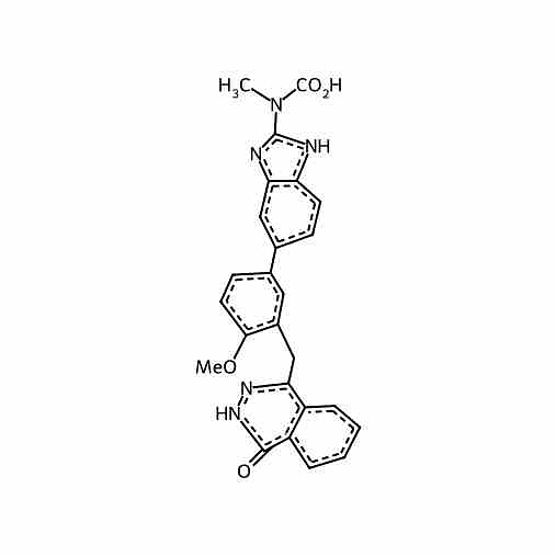 COc1ccc(-c2ccc3[nH]c(N(C)C(=O)O)nc3c2)cc1Cc1n[nH]c(=O)c2ccccc12